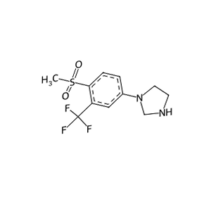 CS(=O)(=O)c1ccc(N2CCNC2)cc1C(F)(F)F